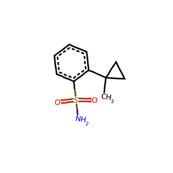 CC1(c2ccccc2S(N)(=O)=O)CC1